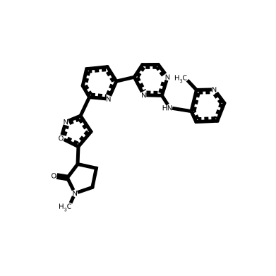 Cc1ncccc1Nc1nccc(-c2cccc(-c3cc(C4CCN(C)C4=O)on3)n2)n1